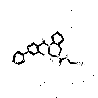 CCOC(=O)CNC(=O)N1Cc2ccccc2N(C(=O)c2ccc(-c3ccccc3)cc2Cl)C[C@H]1C